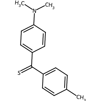 Cc1ccc(C(=S)c2ccc(N(C)C)cc2)cc1